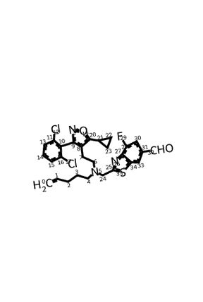 C=CCCCN(CCc1c(-c2c(Cl)cccc2Cl)noc1C1CC1)Cc1nc2c(F)cc(C=O)cc2s1